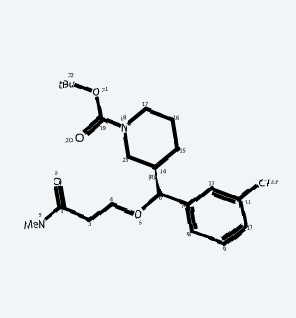 CNC(=O)CCOC(c1cccc(Cl)c1)[C@@H]1CCCN(C(=O)OC(C)(C)C)C1